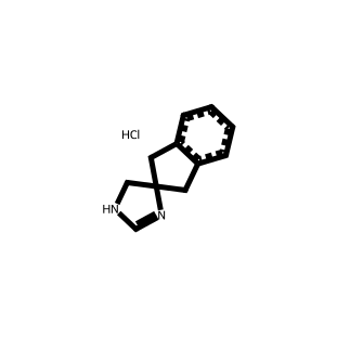 C1=NC2(CN1)Cc1ccccc1C2.Cl